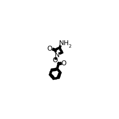 NC1CN(OC(=O)c2ccccc2)C1=O